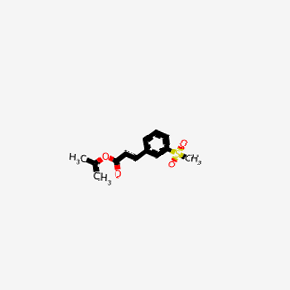 CC(C)OC(=O)CCc1cccc(S(C)(=O)=O)c1